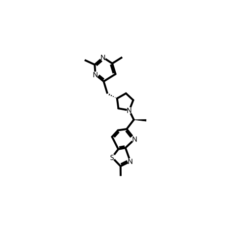 Cc1cc(C[C@@H]2CCN([C@@H](C)c3ccc4sc(C)nc4n3)C2)nc(C)n1